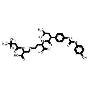 CC(C)CC(C(=O)NC(CCNCC(NC(=O)CC(C)(C)C)C(=O)O)C(=O)O)c1ccc(NC(=O)Nc2ccc(O)cc2)cc1